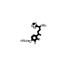 CCCCCCCCCOc1ccc(C(C)CCC(CCCC)c2nncs2)c(F)c1F